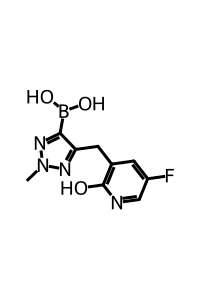 Cn1nc(Cc2cc(F)cnc2O)c(B(O)O)n1